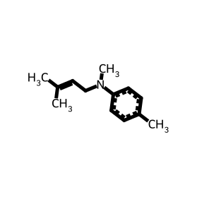 CC(C)=CCN(C)c1ccc(C)cc1